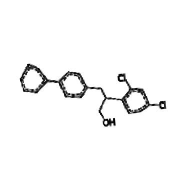 OCC(Cc1ccc(-c2ccccc2)cc1)c1ccc(Cl)cc1Cl